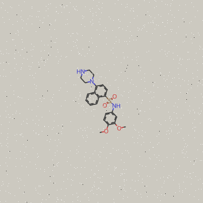 COc1ccc(NS(=O)(=O)c2ccc(N3CCNCC3)c3ccccc23)cc1OC